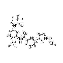 CC1(C)CCN(c2cnc(C3CC3)c(NC(=O)c3cccc(-c4cnn(CC(F)(F)F)c4)n3)c2)C1=O